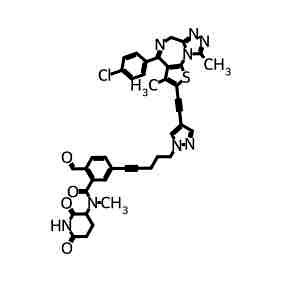 Cc1c(C#Cc2cnn(CCCC#Cc3ccc(C=O)c(C(=O)N(C)C4CCC(=O)NC4=O)c3)c2)sc2c1C(c1ccc(Cl)cc1)=NCc1nnc(C)n1-2